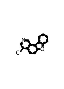 Clc1cncc2c1ccc1oc3ccccc3c12